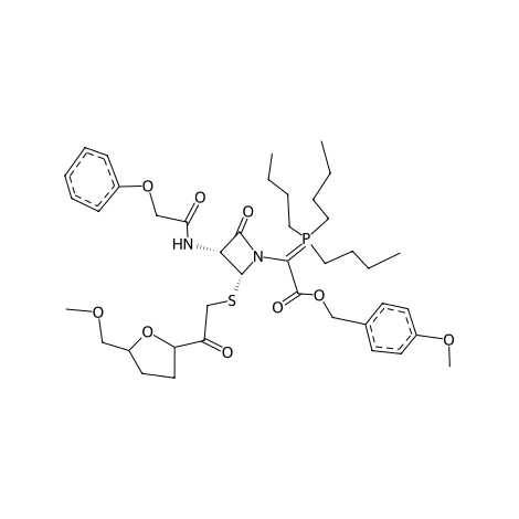 CCCCP(CCCC)(CCCC)=C(C(=O)OCc1ccc(OC)cc1)N1C(=O)[C@@H](NC(=O)COc2ccccc2)[C@H]1SCC(=O)C1CCC(COC)O1